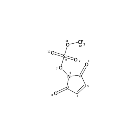 O=C1C=CC(=O)N1OS(=O)(=O)OC(F)(F)F